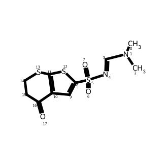 CN(C)C=NS(=O)(=O)c1cc2c(s1)SCCC2=O